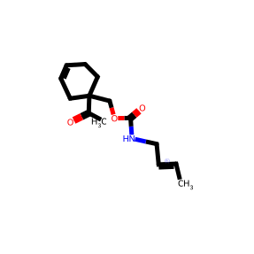 C/C=C/CNC(=O)OCC1(C(C)=O)CC=CCC1